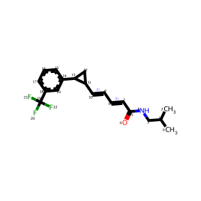 CC(C)CNC(=O)/C=C/C=C/C1CC1c1cccc(C(F)(F)F)c1